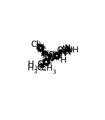 CC(C)(C)C1CCC(N(Cc2ccc(C(=O)Nc3nn[nH]n3)cc2)C(=O)c2cc(-c3ccc(Cl)cc3)cs2)CC1